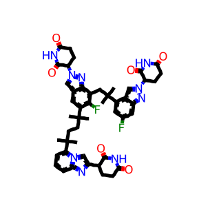 CC(C)(CCC(C)(C)c1cccc2nc(C3CCC(=O)NC3=O)cn12)c1cc2cn(C3CCC(=O)NC3=O)nc2c(CC(C)(C)c2cc(F)cc3nn(C4CCC(=O)NC4=O)cc23)c1F